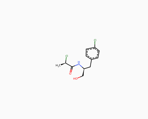 C[C@@H](Cl)C(=O)N[C@H](CO)Cc1ccc(Cl)cc1